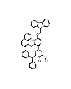 CCOC(CN(CCC(c1ccccc1)c1ccccc1)C(=O)C(Cc1cccc2ccccc12)NC(=O)OCC1c2ccccc2-c2ccccc21)OCC